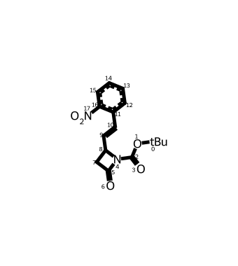 CC(C)(C)OC(=O)N1C(=O)CC1C=Cc1ccccc1[N+](=O)[O-]